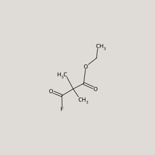 CCOC(=O)C(C)(C)C(=O)F